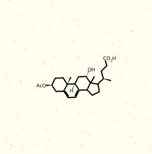 CC(=O)O[C@H]1CC[C@@]2(C)C(=CC=C3C4CCC([C@H](C)CCC(=O)O)C4(C)[C@@H](O)C[C@@H]32)C1